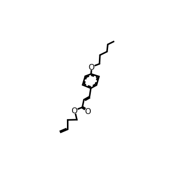 C=CCCOC(=O)C=Cc1ccc(OCCCCC)cc1